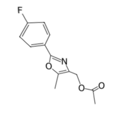 CC(=O)OCc1nc(-c2ccc(F)cc2)oc1C